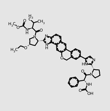 CCO[C@H]1C[C@@H](c2nc3ccc4cc5c(cc4c3[nH]2)OCc2cc(-c3cnc([C@@H]4CCCN4C(=O)[C@H](NC(=O)O)c4ccccc4)[nH]3)ccc2-5)N(C(=O)[C@@H](NC(=O)OC)C(C)C)C1